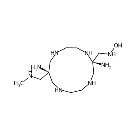 CNC[C@@]1(N)CNCCNC[C@@](N)(CNO)NCCNC1